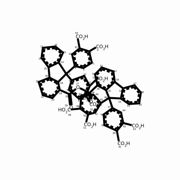 O=C(O)c1ccc(C2(c3ccc(C(=O)O)c(C(=O)O)c3)c3ccccc3-c3cccc(C(=O)OC(=O)c4cccc5c4C(c4ccc(C(=O)O)c(C(=O)O)c4)(c4ccc(C(=O)O)c(C(=O)O)c4)c4ccccc4-5)c32)cc1C(=O)O